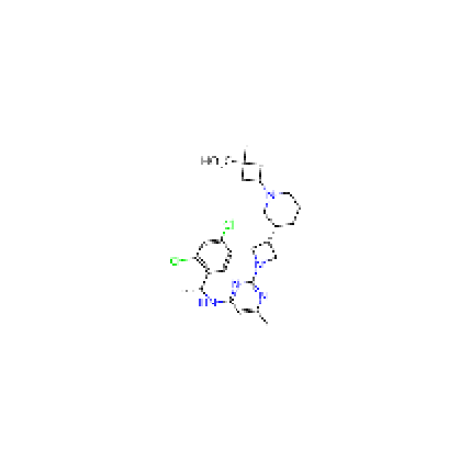 Cc1cc(N[C@H](C)c2ccc(Cl)cc2Cl)nc(N2CC([C@H]3CCCN(C4CC(C)(C(=O)O)C4)C3)C2)n1